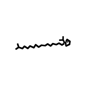 CC(C)CCCCCCCCCCCCCCC[N+]1(C(C)C)CCCC1